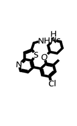 CC(=O)NCc1cc2nccc(-c3cc(Cl)cc(C)c3OC3CCCNC3)c2s1